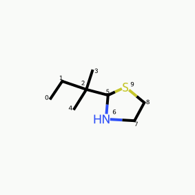 CCC(C)(C)C1NCCS1